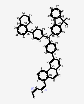 C/C=C\C=C/c1cccc2c1C=CC1C=CC(c3ccc(N(C4=CCC(c5cccc6c5C=CCC6)C=C4)c4ccc5c(c4)-c4ccccc4C5(C)C)cc3)=CC21